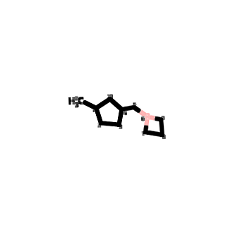 CC1CCC(CB2CCC2)C1